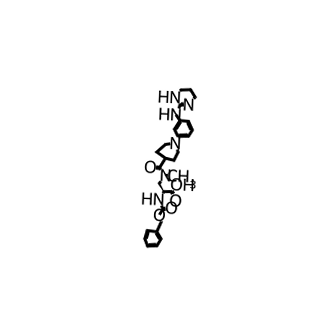 CN(C[C@H](NC(=O)OCc1ccccc1)C(=O)O)C(=O)C1CCN(c2cccc(NC3=NCCCN3)c2)CC1